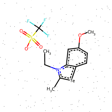 CC[n+]1c(C)[te]c2ccc(OC)cc21.O=S(=O)([O-])C(F)(F)F